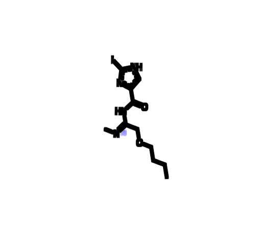 CCCCOC/C(=N/C)NC(=O)c1c[nH]c(I)n1